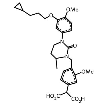 COc1cc(C(C(=O)O)C(=O)O)ccc1CN1C(=O)N(c2ccc(OC)c(OCCCC3CC3)c2)CCC1C